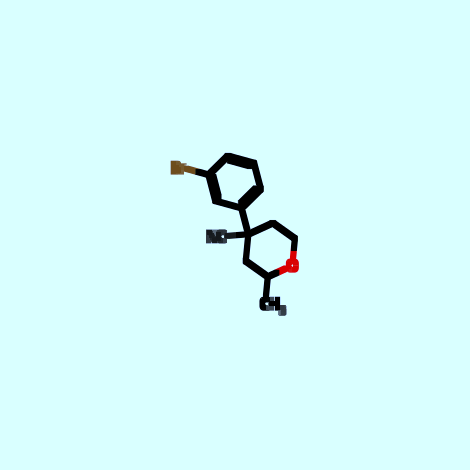 CC1CC(C#N)(c2cccc(Br)c2)CCO1